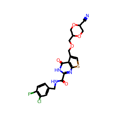 N#CC1COC(COCc2csc3nc(C(=O)NCc4ccc(F)c(Cl)c4)[nH]c(=O)c23)CO1